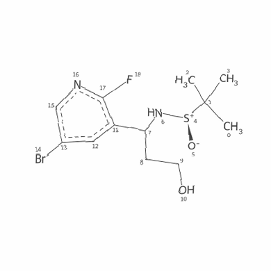 CC(C)(C)[S@@+]([O-])NC(CCO)c1cc(Br)cnc1F